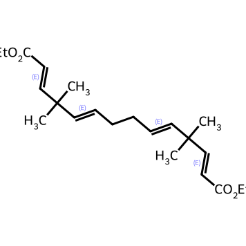 CCOC(=O)/C=C/C(C)(C)/C=C/CC/C=C/C(C)(C)/C=C/C(=O)OCC